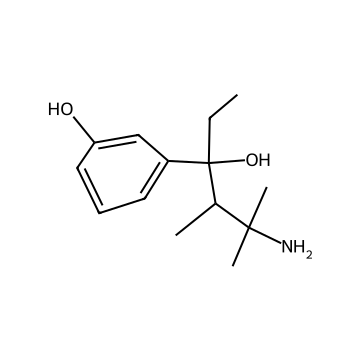 CCC(O)(c1cccc(O)c1)C(C)C(C)(C)N